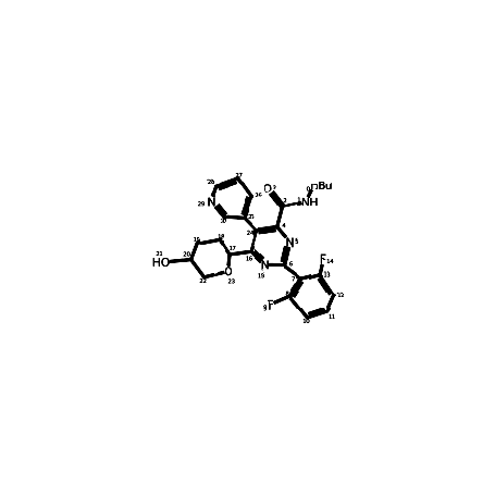 CCCCNC(=O)c1nc(-c2c(F)cccc2F)nc(C2CCC(O)CO2)c1-c1cccnc1